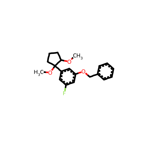 COC1CCCC1(OC)c1cc(F)cc(OCc2ccccc2)c1